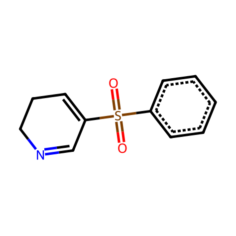 O=S(=O)(C1=CCCN=C1)c1ccccc1